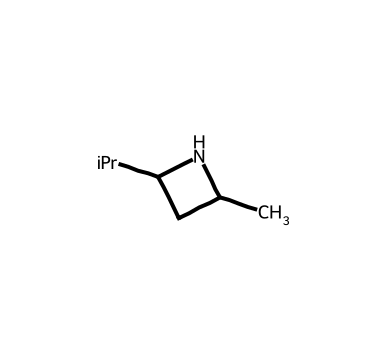 CC1CC(C(C)C)N1